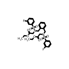 CCOC(=O)CN(Cc1ccccc1CN(CC(=O)OCC)S(=O)(=O)c1cccc(F)c1)S(=O)(=O)c1cccc(F)c1